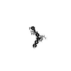 Nc1ncnc2c1c(-c1ccc3nc(NCc4cccc(F)c4)[nH]c3c1)nn2C1CCC(N2CCOCC2)CC1